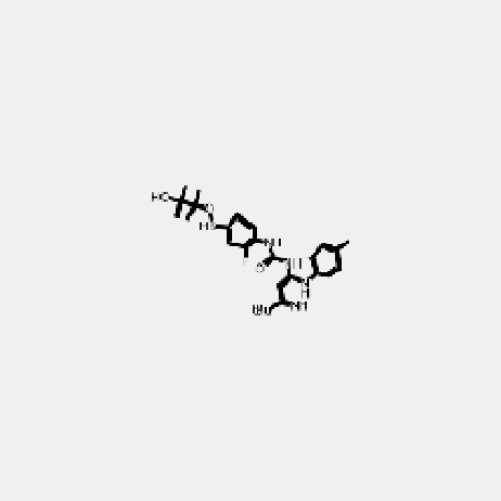 Cc1ccc(N/C(=C\C(=N)C(C)(C)C)NC(=O)Nc2ccc(BOC(C)(C)C(C)(C)O)cc2F)cc1